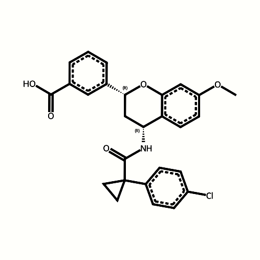 COc1ccc2c(c1)O[C@@H](c1cccc(C(=O)O)c1)C[C@H]2NC(=O)C1(c2ccc(Cl)cc2)CC1